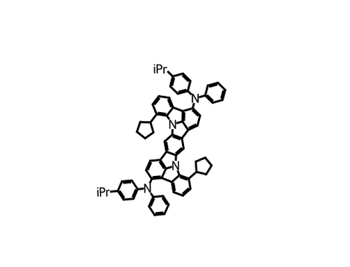 CC(C)c1ccc(N(c2ccccc2)c2ccc3c4cc5c(cc4n4c6c(C7CCCC7)cccc6c2c34)c2ccc(N(c3ccccc3)c3ccc(C(C)C)cc3)c3c4cccc(C6CCCC6)c4n5c23)cc1